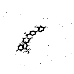 C[C@@H](c1ccc(-c2ccc(F)cc2F)cc1)N1CCC(CCS(C)(=O)=O)(c2ccc(F)cc2)CC1=O